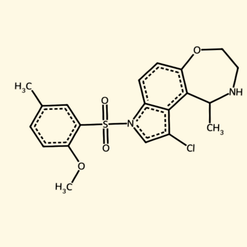 COc1ccc(C)cc1S(=O)(=O)n1cc(Cl)c2c3c(ccc21)OCCNC3C